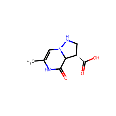 CC1=CN2NC[C@H](C(=O)O)C2C(=O)N1